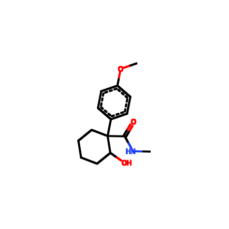 CNC(=O)C1(c2ccc(OC)cc2)CCCCC1O